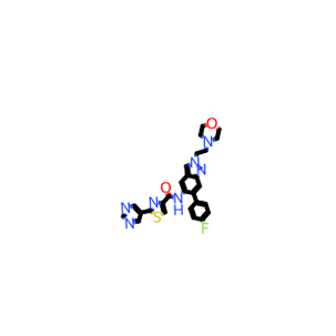 O=C(Nc1cc2cn(CCN3CCOCC3)nc2cc1-c1ccc(F)cc1)c1csc(-c2cncnc2)n1